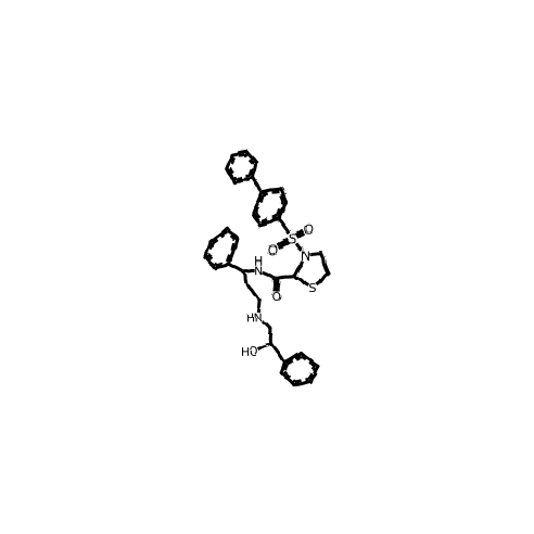 O=C(NC(CCNC[C@H](O)c1ccccc1)c1ccccc1)C1SCCN1S(=O)(=O)c1ccc(-c2ccccc2)cc1